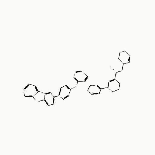 N[C@@H](CC1C=CCCC1)C1=CC(C2=C[C@@H](c3ccccc3Nc3ccc(-c4ccc5oc6ccccc6c5c4)cc3)CC=C2)CCC1